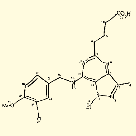 CCn1nc(C)c2nc(CCCC(=O)O)nc(NCc3ccc(OC)c(Cl)c3)c21